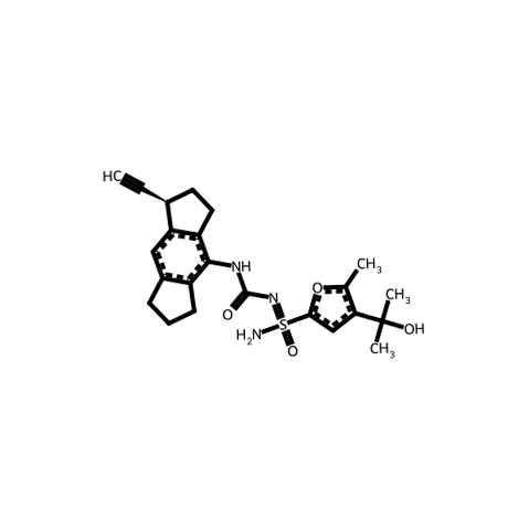 C#C[C@H]1CCc2c1cc1c(c2NC(=O)N=S(N)(=O)c2cc(C(C)(C)O)c(C)o2)CCC1